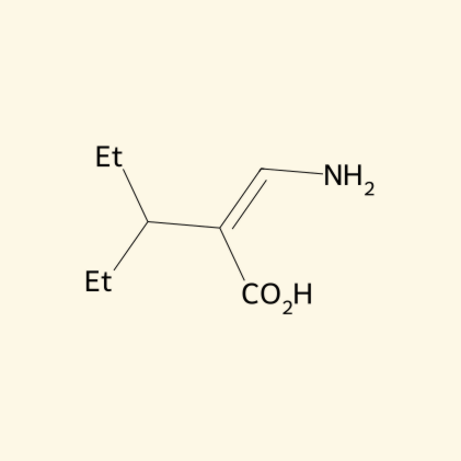 CCC(CC)C(=CN)C(=O)O